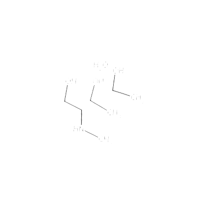 CCO.CCO.CNCCO.O